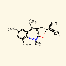 C=C(C)C1Cc2c(OC)c3cc(OC)cc(OC)c3[n+](C)c2O1